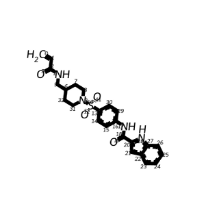 C=CC(=O)NCC1CCN(S(=O)(=O)c2ccc(NC(=O)c3cc4ccccc4[nH]3)cc2)CC1